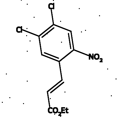 CCOC(=O)/C=C/c1cc(Cl)c(Cl)cc1[N+](=O)[O-]